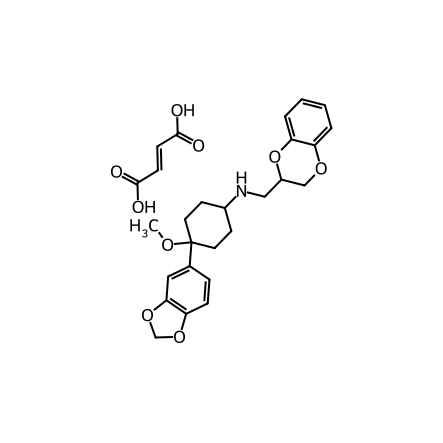 COC1(c2ccc3c(c2)OCO3)CCC(NCC2COc3ccccc3O2)CC1.O=C(O)C=CC(=O)O